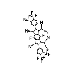 N#CC(C#N)=C1C(c2ccc(C(F)(F)F)c(C#N)c2)=C(C#N)c2c(F)c3c(c(F)c21)C(=C(C#N)C#N)C(c1ccc(C(F)(F)F)c(C(F)(F)F)c1)=C3C#N